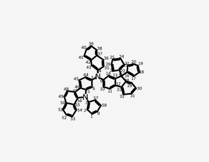 c1ccc(-n2c3cc(N(c4ccc5c(c4)C(c4ccccc4)(c4ccccc4)c4ccccc4-5)c4ccc5ccccc5c4)ccc3c3ccc4ccccc4c32)cc1